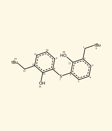 CC(C)(C)Cc1cccc(Sc2cccc(CC(C)(C)C)c2O)c1O